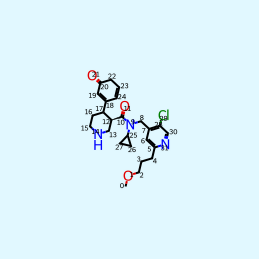 COCCCc1cc(CN(C(=O)[C@H]2CNCCC2C2=CC(=O)CC=C2)C2CC2)c(Cl)cn1